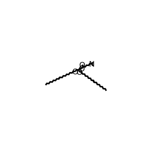 CCCCCCCCC=CCCCCCCCCOCC(COC(=O)CCCCN(C)C)OCCCCCCCCC=CCCCCCCCC